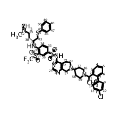 CC(c1ccccc1-c1ccc(Cl)cc1)N1CCC(N2CCc3c(ncnc3NS(=O)(=O)c3ccc(N[C@H](CCN(C)C)CSc4ccccc4)c(S(=O)(=O)C(F)(F)F)c3)C2)CC1